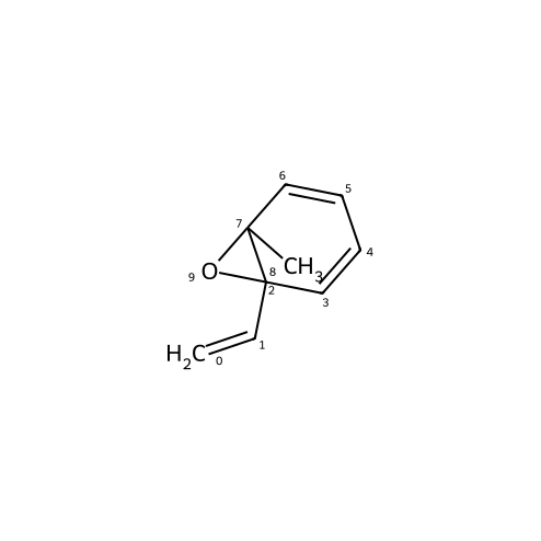 C=CC12C=CC=CC1(C)O2